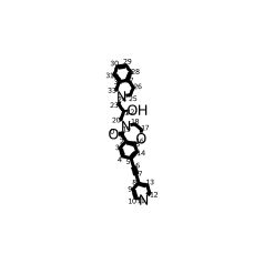 O=C1c2ccc(C#Cc3ccncc3)cc2OCCN1C[C@H](O)CN1CCc2ccccc2C1